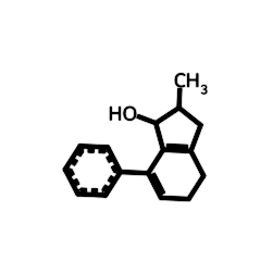 CC1CC2=C(C(c3ccccc3)=CCC2)C1O